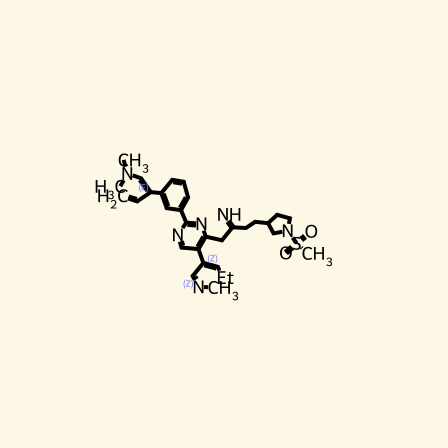 C=C/C(=C\N(C)C)c1cccc(-c2ncc(C(/C=N\C)=C/CC)c(CC(=N)CCC3CCN(S(C)(=O)=O)C3)n2)c1